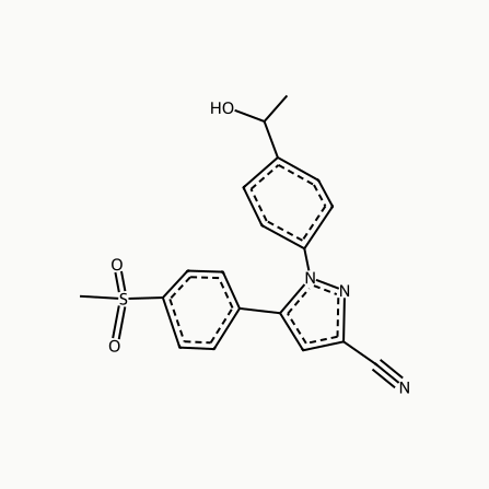 CC(O)c1ccc(-n2nc(C#N)cc2-c2ccc(S(C)(=O)=O)cc2)cc1